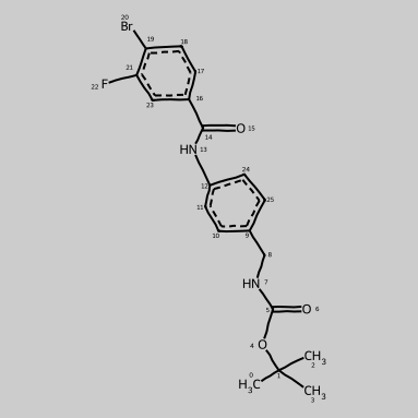 CC(C)(C)OC(=O)NCc1ccc(NC(=O)c2ccc(Br)c(F)c2)cc1